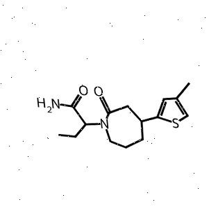 CCC(C(N)=O)N1CCCC(c2cc(C)cs2)CC1=O